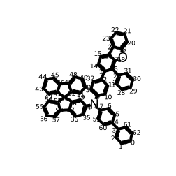 c1ccc(-c2ccc(N(c3ccc(-c4ccc5c(oc6ccccc65)c4-c4ccccc4)cc3)c3ccc4c(c3)C3(c5ccccc5-c5ccccc53)c3ccccc3-4)cc2)cc1